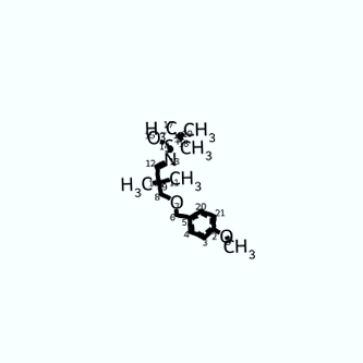 COc1ccc(COCC(C)(C)C=N[S+]([O-])C(C)(C)C)cc1